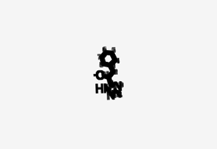 [O]C(CC1CCCCC1)c1nnn[nH]1